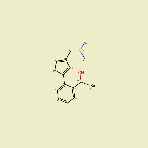 CN(C)CC1=CCC(c2ccccc2C(O)C(C)(C)C)=C1